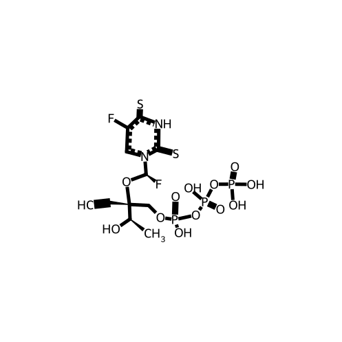 C#C[C@](COP(=O)(O)OP(=O)(O)OP(=O)(O)O)(O[C@H](F)n1cc(F)c(=S)[nH]c1=S)[C@@H](C)O